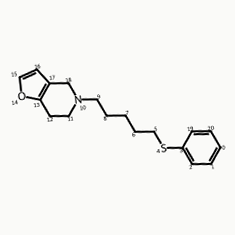 c1ccc(SCCCCCN2CCc3occc3C2)cc1